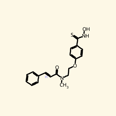 CN(CCOc1ccc(C(=S)NO)cc1)C(=O)/C=C/c1ccccc1